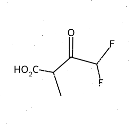 CC(C(=O)O)C(=O)C(F)F